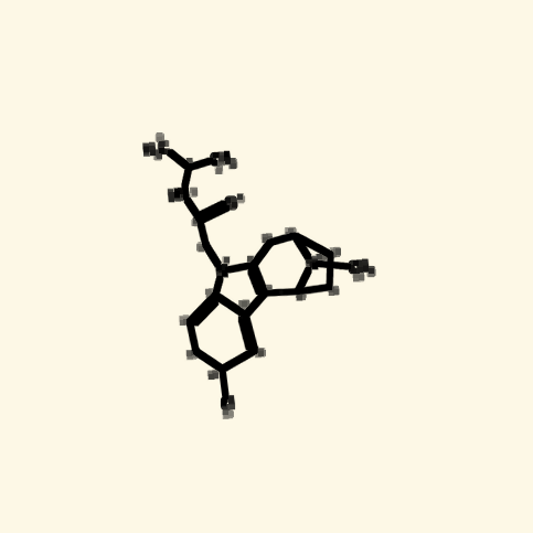 CC(C)NC(=O)Cn1c2c(c3c1=CCC(Cl)C=3)C1CCC(C2)N1C